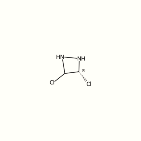 ClC1NN[C@@H]1Cl